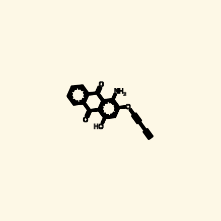 C#CC#COc1cc(O)c2c(c1N)C(=O)c1ccccc1C2=O